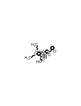 CCCCOc1ccc([C@H](CC(=O)O)NC(=O)Nc2c(O)ccn(Cc3ccccc3Cl)c2=O)cc1OCCCC